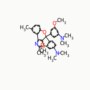 COc1cc(N(C)C)cc(C2(c3ccc(N(C)C)cc3OC)Oc3ccc(C)cc3-c3nc(C)sc32)c1